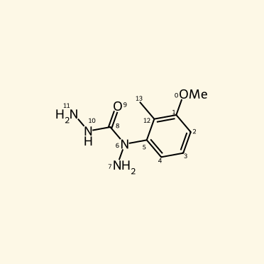 COc1cccc(N(N)C(=O)NN)c1C